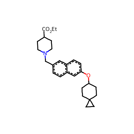 CCOC(=O)C1CCN(Cc2ccc3cc(OC4CCC5(CC4)CC5)ccc3c2)CC1